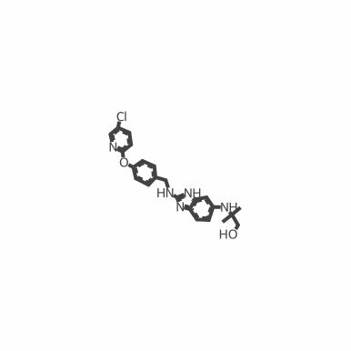 CC(C)(CO)Nc1ccc2nc(NCc3ccc(Oc4ccc(Cl)cn4)cc3)[nH]c2c1